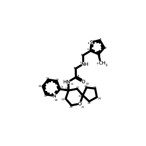 Cc1ccsc1CNCC(=O)NC1(c2ccccn2)CCOC2(CCCC2)C1